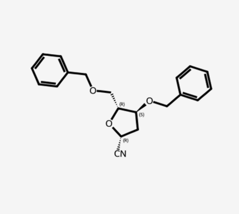 N#C[C@H]1C[C@H](OCc2ccccc2)[C@@H](COCc2ccccc2)O1